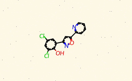 Oc1c(Cl)cc(Cl)cc1-c1cc(-c2ccccn2)on1